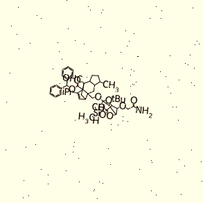 CC(C)C1=CC2CC3(C=O)C4CCC(C)C4CC2(COC24OC5C(OCC(N)=O)C(OC5(O[SiH](C)C)O2)C4C(C)(C)C)C13C(=O)OC(c1ccccc1)c1ccccc1